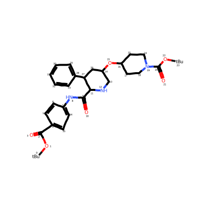 CC(C)(C)OC(=O)c1ccc(NC(=O)C2NCC(OC3CCN(C(=O)OC(C)(C)C)CC3)CC2c2ccccc2)cc1